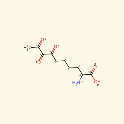 CC(=O)C(=O)C(=O)CCCCC(N)C(=O)O